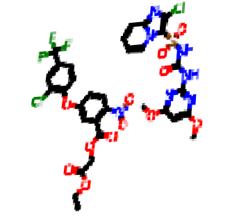 CCOC(=O)COC(=O)c1cc(Oc2ccc(C(F)(F)F)cc2Cl)ccc1[N+](=O)[O-].COc1cc(OC)nc(NC(=O)NS(=O)(=O)c2c(Cl)nc3ccccn23)n1